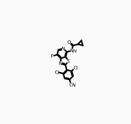 N#Cc1cc(Cl)c(-c2nc3c(F)cnc(NC(=O)C4CC4)c3s2)c(Cl)c1